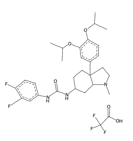 CC(C)Oc1ccc(C23CCC(NC(=O)Nc4ccc(F)c(F)c4)CC2N(C)CC3)cc1OC(C)C.O=C(O)C(F)(F)F